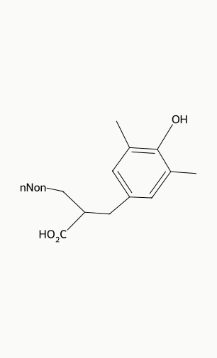 CCCCCCCCCCC(Cc1cc(C)c(O)c(C)c1)C(=O)O